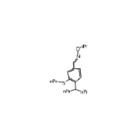 CCCSc1cc(/C=N/OC(C)C)ccc1C(CCC)CCC